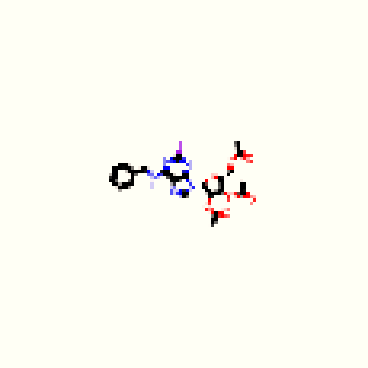 CC(=O)OC[C@H]1O[C@@H](n2cnc3c(NCc4ccccc4)nc(I)nc32)[C@H](OC(C)=O)[C@@H]1OC(C)=O